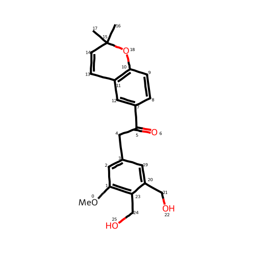 COc1cc(CC(=O)c2ccc3c(c2)C=CC(C)(C)O3)cc(CO)c1CO